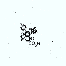 CC1COc2c(N3CCN(C)CC3)c(F)cc3c(=O)c(C(=O)O)cn1c23.c1csnn1